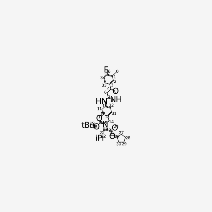 Cc1cc(C(=O)CC(=N)Nc2ccc(CN(C(=O)OC(C)(C)C)[C@@H](CC(C)C)C(=O)OC3CCCC3)cc2)ccc1F